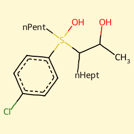 CCCCCCCC(C(C)O)S(O)(CCCCC)c1ccc(Cl)cc1